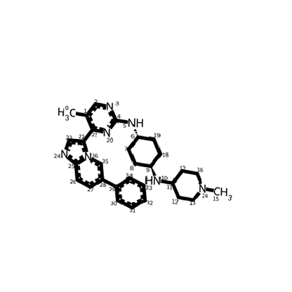 Cc1cnc(N[C@H]2CC[C@H](NC3CCN(C)CC3)CC2)nc1-c1cnc2ccc(-c3ccccc3)cn12